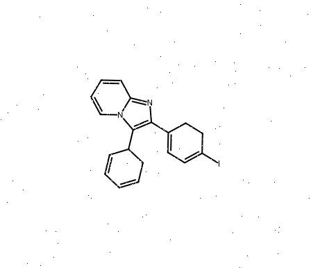 IC1=CC=C(c2nc3ccccn3c2C2C=CC=CC2)CC1